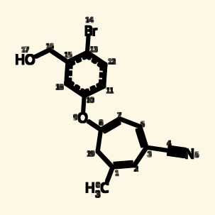 CC1=CC(C#N)=CC=C(Oc2ccc(Br)c(CO)c2)C1